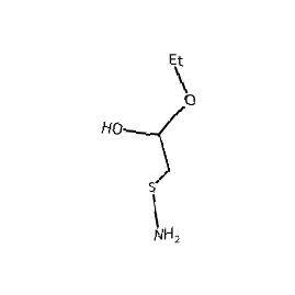 CCOC(O)CSN